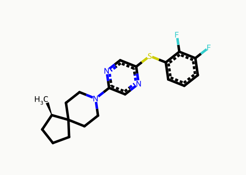 C[C@@H]1CCCC12CCN(c1cnc(Sc3cccc(F)c3F)cn1)CC2